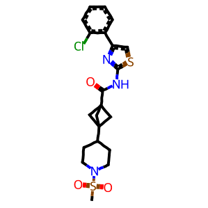 CS(=O)(=O)N1CCC(C23CC(C(=O)Nc4nc(-c5ccccc5Cl)cs4)(C2)C3)CC1